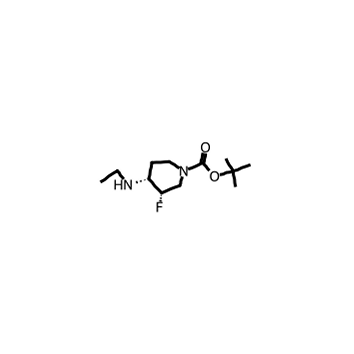 CCN[C@@H]1CCN(C(=O)OC(C)(C)C)C[C@@H]1F